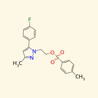 Cc1ccc(S(=O)(=O)OCCn2nc(C)cc2-c2ccc(F)cc2)cc1